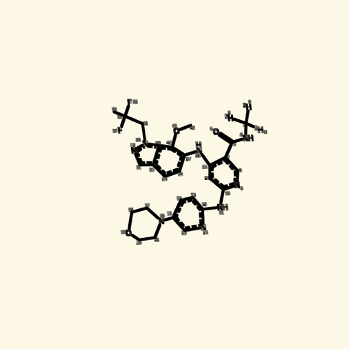 [2H]C([2H])([2H])NC(=O)c1cnc(Nc2ccc(N3CCOCC3)cn2)cc1Nc1ccc2cnn(CC(C)(F)F)c2c1OC